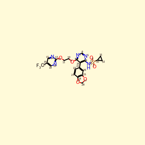 O=S(=O)(Nc1ncnc(OCCOc2ncc(C(F)(F)F)cn2)c1-c1ccc2c(c1)OCO2)C1CC1